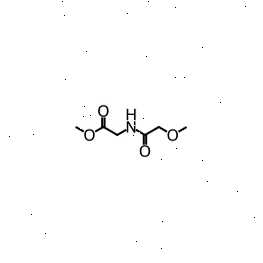 COCC(=O)NCC(=O)OC